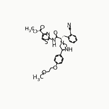 COCCOc1ccc(C2CN([C@@H](Cc3ccccc3C#N)C(=O)Nc3nc(C(=O)OC)cs3)CN2)cc1